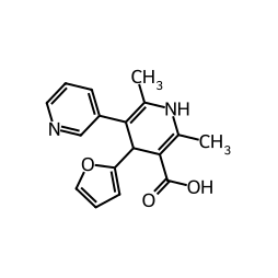 CC1=C(C(=O)O)C(c2ccco2)C(c2cccnc2)=C(C)N1